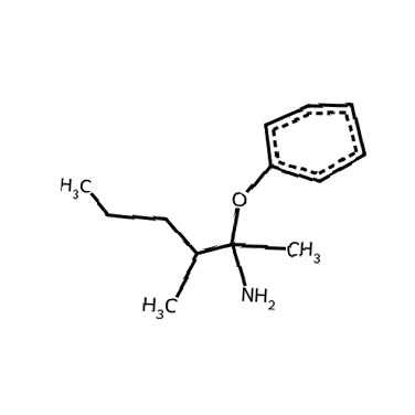 CCCC(C)C(C)(N)Oc1ccccc1